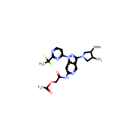 CNC1CN(c2nn(-c3ccnc(C(C)(F)F)n3)c3cc(NC(=O)COC(=O)C(F)(F)F)ncc23)CC1C